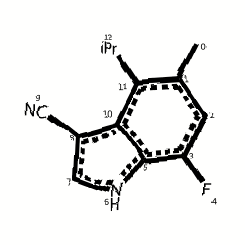 Cc1cc(F)c2[nH]cc(C#N)c2c1C(C)C